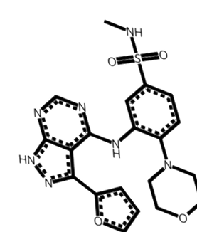 CNS(=O)(=O)c1ccc(N2CCOCC2)c(Nc2ncnc3[nH]nc(-c4ccco4)c23)c1